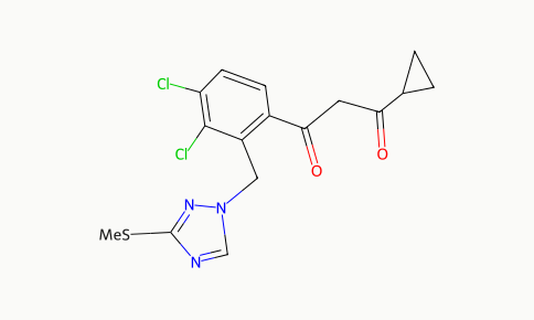 CSc1ncn(Cc2c(C(=O)CC(=O)C3CC3)ccc(Cl)c2Cl)n1